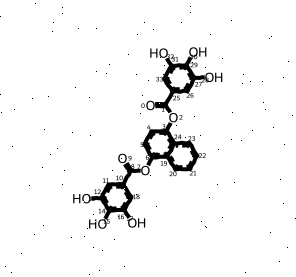 O=C(Oc1ccc(OC(=O)c2cc(O)c(O)c(O)c2)c2ccccc12)c1cc(O)c(O)c(O)c1